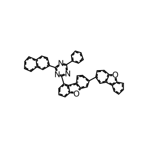 c1ccc(-c2nc(-c3ccc4ccccc4c3)nc(-c3cccc4oc5cc(-c6ccc7oc8ccccc8c7c6)ccc5c34)n2)cc1